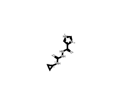 O=C(NNC(=O)c1c[nH]cn1)NC1CC1